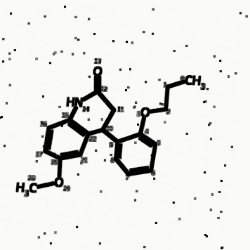 CCCOc1ccccc1C1CC(=O)Nc2ccc(OC)cc21